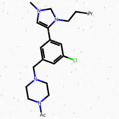 CC(=O)N1CCN(Cc2cc(Cl)cc(C3=CN(C)CN3CCC(C)C)c2)CC1